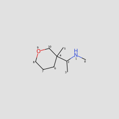 CNC(C)C1(C)CCCOC1